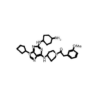 COc1cccc(CC(=O)N2CCC(Nc3nc(NC4CCC(N)CC4)nc4c3ncn4C3CCCC3)CC2)c1